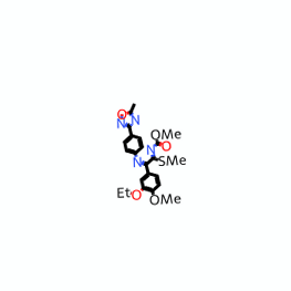 CCOc1cc(C(=N/c2ccc(-c3noc(C)n3)cc2)/C(=N/C(=O)OC)SC)ccc1OC